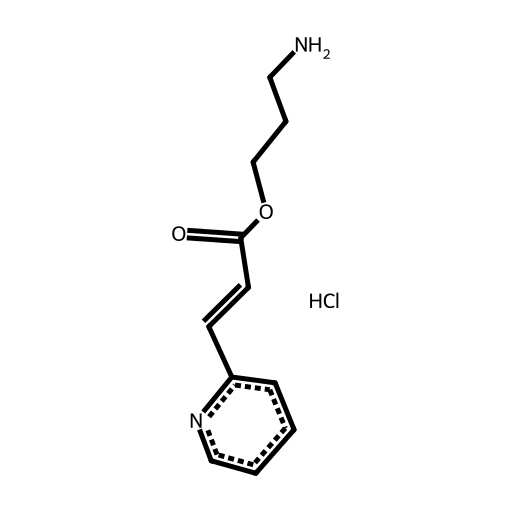 Cl.NCCCOC(=O)/C=C/c1ccccn1